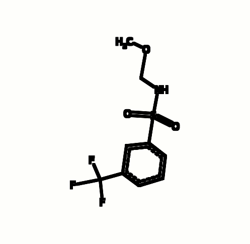 COCNS(=O)(=O)c1cccc(C(F)(F)F)c1